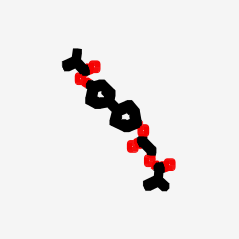 C=C(C)C(=O)OCC(=O)Oc1ccc(-c2ccc(OC(=O)C(=C)C)cc2)cc1